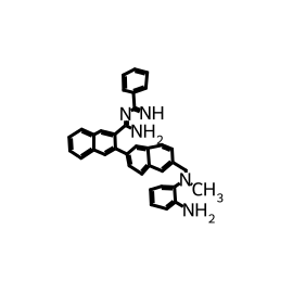 CN(Cc1ccc2cc(-c3cc4ccccc4cc3/C(N)=N/C(=N)c3ccccc3)ccc2c1)c1ccccc1N